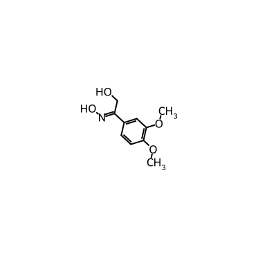 COc1ccc(C(CO)=NO)cc1OC